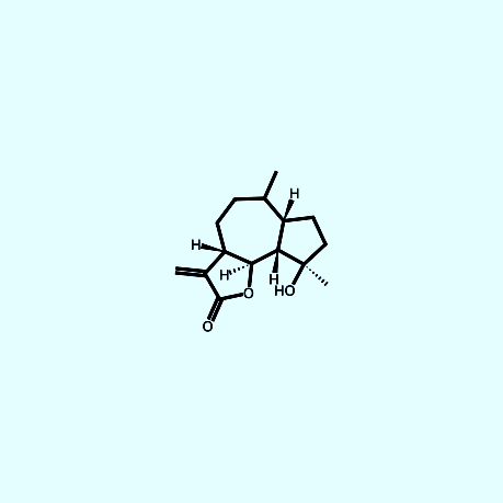 C=C1C(=O)O[C@@H]2[C@@H]3[C@@H](CC[C@@]3(C)O)C(C)CC[C@@H]12